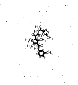 Cc1nnc(C(C)NC(=O)C(=O)c2c(C)c(C(=O)Nc3ccc(F)c(C)c3)c(C)n2C)o1